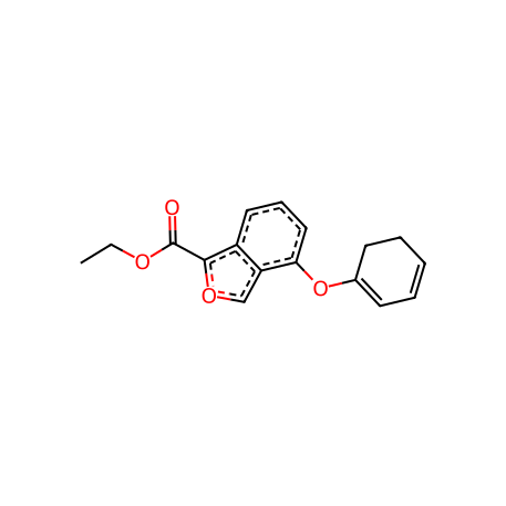 CCOC(=O)c1occ2c(OC3=CC=CCC3)cccc12